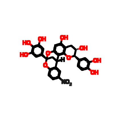 O=[N+]([O-])c1ccc2c(c1)[C@@H]1C[C@](c3cc(O)c(O)c(O)c3)(O2)Oc2cc(O)c3c(c21)O[C@H](c1ccc(O)c(O)c1)[C@@H](O)C3